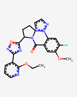 CCOc1ncccc1-c1noc(C2CCCN2C(=O)c2cc(OC)c(F)cc2-n2nccn2)n1